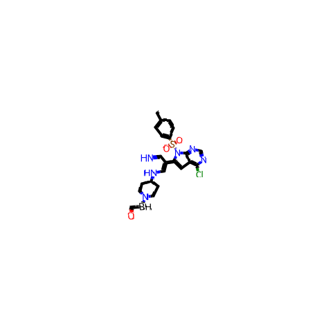 Cc1ccc(S(=O)(=O)n2c(/C(C=N)=C/NC3CCN(BC=O)CC3)cc3c(Cl)ncnc32)cc1